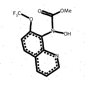 COC(=O)N(O)c1c(OC(F)(F)F)ccc2cccnc12